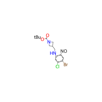 CC(C)(C)OC(=O)N1CC(CNc2cc(Cl)c(Br)cc2N=O)C1